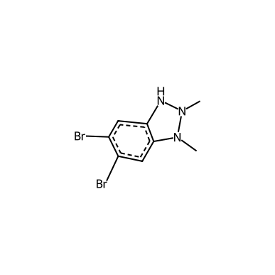 CN1Nc2cc(Br)c(Br)cc2N1C